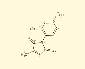 CC1=CC(=O)N(c2ccc(C(=O)O)cc2O)C1=O